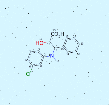 CN(c1cccc(Cl)c1)C(c1ccccc1)C(O)C(=O)O